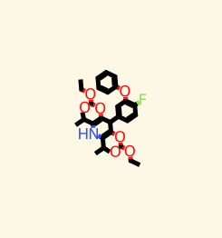 CCOC(=O)OC1=C(C(C)C)NC(C(C)C)=C(OC(=O)OCC)C1c1ccc(F)c(Oc2ccccc2)c1